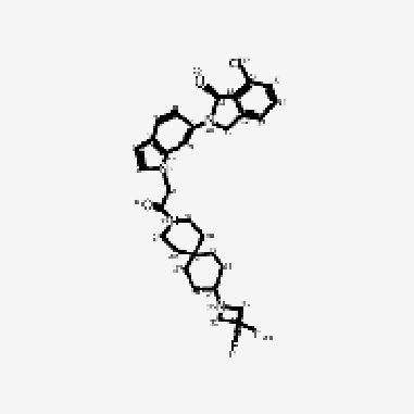 O=C(Cn1ccc2ccc(N3Cc4cccc(Cl)c4C3=O)cc21)N1CCC2(CCC(N3CC(F)(F)C3)CC2)CC1